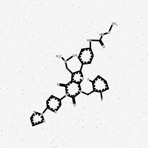 CONC(=O)Nc1ccc(-c2sc3c(c2CN(C)C)c(=O)n(-c2ccc(-n4nccn4)nc2)c(=O)n3Cc2c(F)cccc2F)cc1